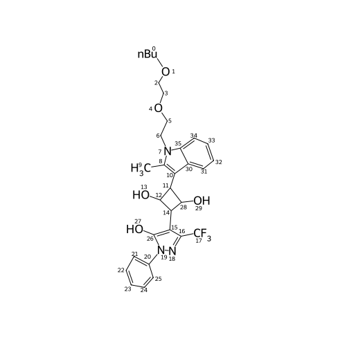 CCCCOCCOCCn1c(C)c(C2C(O)C(c3c(C(F)(F)F)nn(-c4ccccc4)c3O)C2O)c2ccccc21